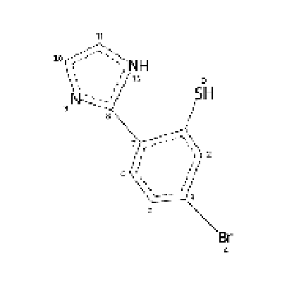 Sc1cc(Br)ccc1-c1ncc[nH]1